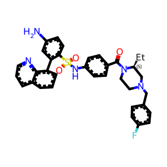 CC[C@H]1CN(Cc2ccc(F)cc2)CCN1C(=O)c1ccc(NS(=O)(=O)c2ccc(N)cc2-c2cccc3cccnc23)cc1